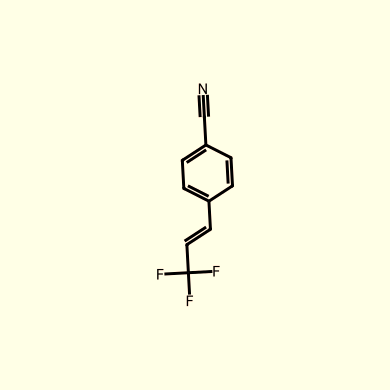 N#Cc1ccc(C=CC(F)(F)F)cc1